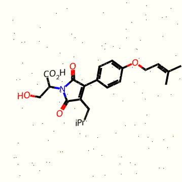 CC(C)=CCOc1ccc(C2=C(CC(C)C)C(=O)N(C(CO)C(=O)O)C2=O)cc1